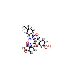 CC(C)(C)c1ccc(C(=O)N[C@@H](Cc2ccc(O)cc2)C(=O)NC23CCCC2OCC3=O)cc1